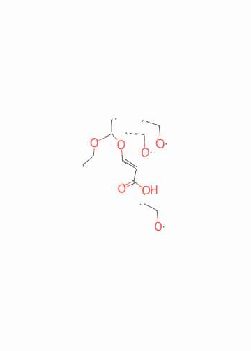 [CH2]C(OC=CC(=O)O)OCC.[CH2]C[O].[CH2]C[O].[CH2]C[O]